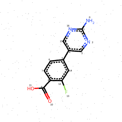 Nc1ncc(-c2ccc(C(=O)O)c(F)c2)cn1